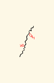 CCCCCCCC(O)CCCCC(O)CCCCC